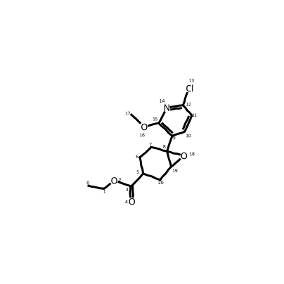 CCOC(=O)C1CCC2(c3ccc(Cl)nc3OC)OC2C1